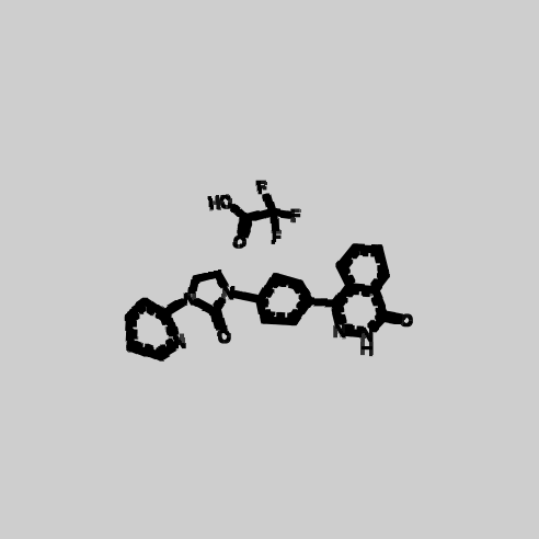 O=C(O)C(F)(F)F.O=C1N(c2ccc(-c3n[nH]c(=O)c4ccccc34)cc2)CCN1c1ccccn1